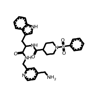 NCc1ccnc(CNC(=O)C(Cc2c[nH]c3ccccc23)NC(=O)C2CCN(S(=O)(=O)c3ccccc3)CC2)c1